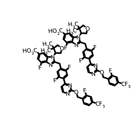 CC1(C)COCC1n1c(Cc2cc(F)c(-c3ccnc(OCc4ccc(C(F)(F)F)cc4F)n3)cc2F)nc2c(F)cc(C(=O)O)cc21.CC1(C)COCC1n1c(Cc2cc(F)c(-c3ccnc(OCc4ccc(C(F)(F)F)cc4F)n3)cc2F)nc2c(F)cc(C(=O)O)cc21